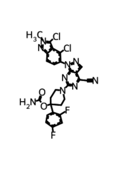 Cn1nc2ccc(-n3ncc4c(C#N)nc(N5CCC(OC(N)=O)(c6ccc(F)cc6F)CC5)nc43)c(Cl)c2c1Cl